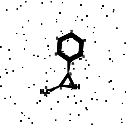 C[C@H]1N[C@H]1c1ccccc1